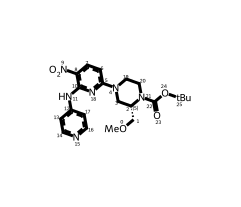 COC[C@@H]1CN(c2ccc([N+](=O)[O-])c(Nc3ccncc3)n2)CCN1C(=O)OC(C)(C)C